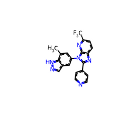 Cc1cc(-n2c(-c3ccncc3)nc3ccc(C(F)(F)F)nc32)cc2cn[nH]c12